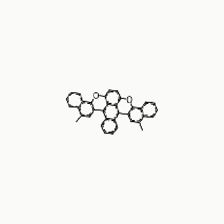 Cc1cc2c(c3ccccc13)Oc1ccc3c4c(c5ccccc5c-2c14)-c1cc(C)c2ccccc2c1O3